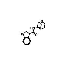 O=C(NC1CN2CCC1CC2)C1CNc2ccccc21